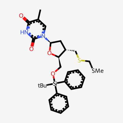 CSCSC[C@H]1C[C@H](n2cc(C)c(=O)[nH]c2=O)O[C@@H]1CO[Si](c1ccccc1)(c1ccccc1)C(C)(C)C